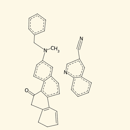 CN(Cc1ccccc1)c1ccc2c3c(ccc2c1)C1=C(CCC=C1)CC3=O.N#Cc1cnc2ccccc2c1